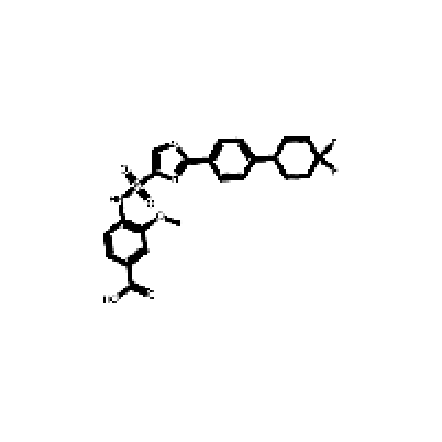 COc1cc(C(=O)O)ccc1NS(=O)(=O)c1coc(-c2ccc(C3CCC(F)(F)CC3)cc2)n1